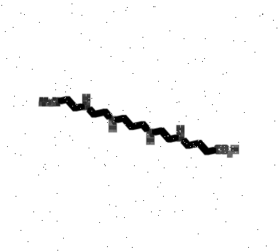 CNCCNCCNCCCNCCNCCCC(=O)O